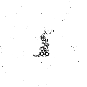 CCOC(=O)[C@H](C)CCOP1(=O)OC[C@H]2S[C@@H](n3ccc(NC(c4ccccc4)(c4ccccc4)c4ccc(OC)cc4)nc3=O)[C@@H](F)C2O1